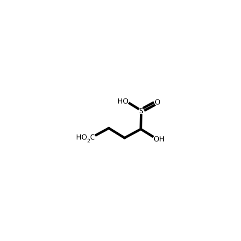 O=C(O)CCC(O)S(=O)O